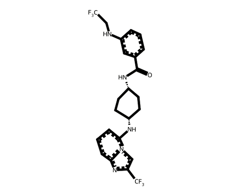 O=C(N[C@H]1CC[C@@H](Nc2cccc3nc(C(F)(F)F)cn23)CC1)c1cccc(NCC(F)(F)F)c1